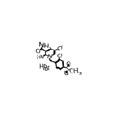 Br.CS(=O)(=O)c1ccc(Cn2cc(Cl)cc(C(N)=O)c2=N)c(Cl)c1